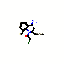 CCc1cccc(CN)c1N(C(=O)CCl)C(C)COC